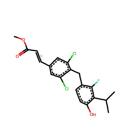 COC(=O)/C=C/c1cc(Cl)c(Cc2ccc(O)c(C(C)C)c2F)c(Cl)c1